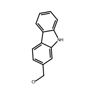 ClCc1ccc2c(c1)[nH]c1ccccc12